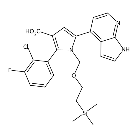 C[Si](C)(C)CCOCn1c(-c2ccnc3[nH]ccc23)cc(C(=O)O)c1-c1cccc(F)c1Cl